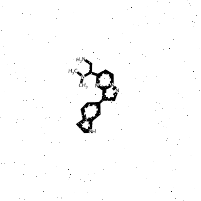 CN(C)C(CN)c1ccn2ncc(-c3ccc4cc[nH]c4c3)c2n1